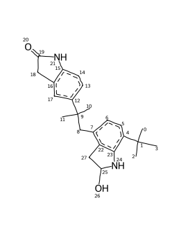 CC(C)(C)c1ccc(CC(C)(C)c2ccc3c(c2)CC(=O)N3)c2c1NC(O)C2